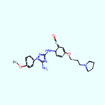 CC(C)Oc1ccc(-n2nc(NC3C=CC(OCCCN4CCCC4)=CC3=C=O)nc2N)cc1